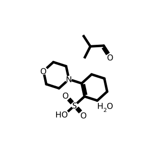 CC(C)C=O.O.O=S(=O)(O)C1=C(N2CCOCC2)CCCC1